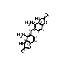 Nc1c(Cc2ccc3oc(=O)[nH]c3c2N)ccc2oc(=O)[nH]c12